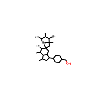 CCC(C)C(C(C)C)C(C)C(C(C)C)C(C)(C)CC1(C)CC2C(C3CCC(CO)CC3)CC(C)C2C(C)C1CC